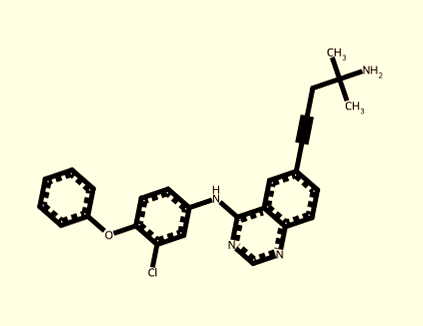 CC(C)(N)CC#Cc1ccc2ncnc(Nc3ccc(Oc4ccccc4)c(Cl)c3)c2c1